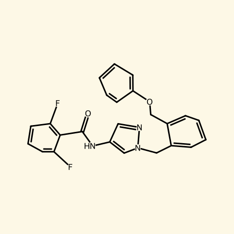 O=C(Nc1cnn(Cc2ccccc2COc2ccccc2)c1)c1c(F)cccc1F